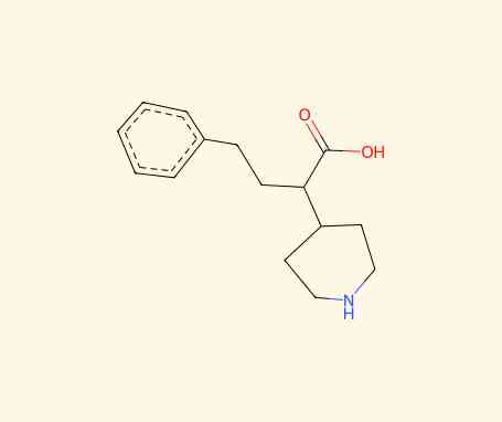 O=C(O)C(CCc1ccccc1)C1CCNCC1